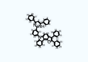 C1=C(c2ccccc2)NC(c2cccc(-n3c4ccccc4c4c5oc(-c6ccccc6)c(-c6ccccc6)c5ccc43)c2)N=C1c1ccccc1